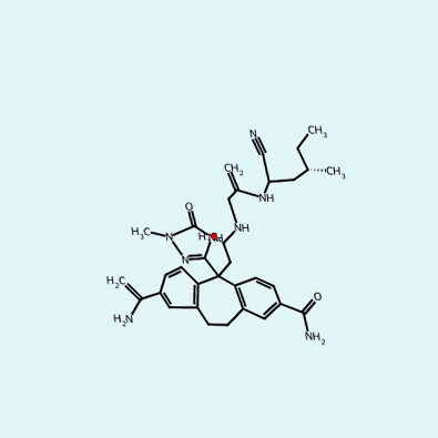 C=C(CN[C@@H](C)CC1(c2nn(C)c(=O)[nH]2)c2ccc(C(=C)N)cc2CCc2cc(C(N)=O)ccc21)NC(C#N)C[C@@H](C)CC